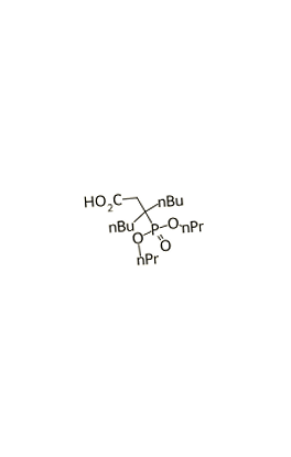 CCCCC(CCCC)(CC(=O)O)P(=O)(OCCC)OCCC